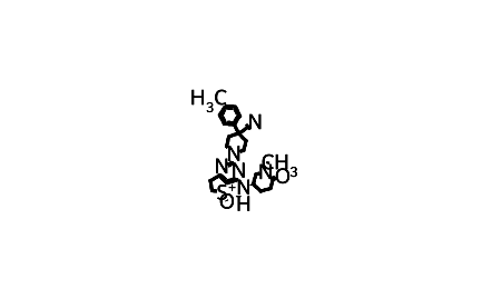 Cc1ccc(C2(C#N)CCN(c3nc4c(c(N[C@H]5CCC(=O)N(C)C5)n3)[S+]([O-])CC4)CC2)cc1